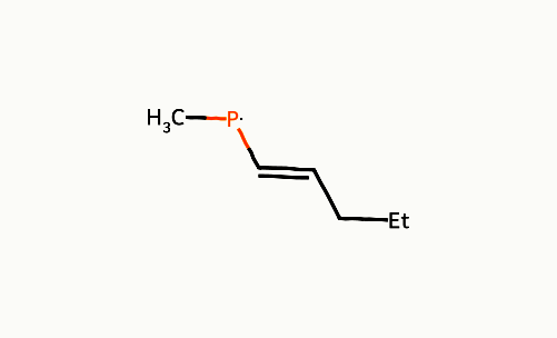 CCCC=C[P]C